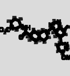 COc1ccc(-c2cc(C)c3ncnc(N4CCc5ccc(C(=O)N[C@@H]6CCCN(C(=O)O)C6)cc5C4)c3c2)nn1